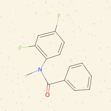 CN(C(=O)c1ccccc1)c1ccc(F)cc1F